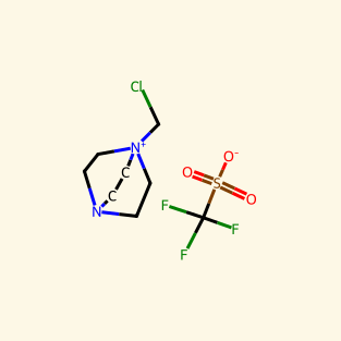 ClC[N+]12CCN(CC1)CC2.O=S(=O)([O-])C(F)(F)F